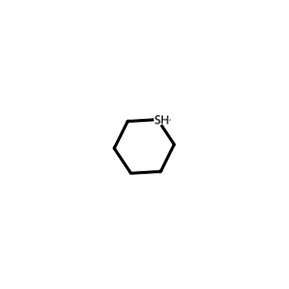 C1CC[SH]CC1